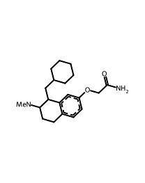 CNC1CCc2ccc(OCC(N)=O)cc2C1CC1CCCCC1